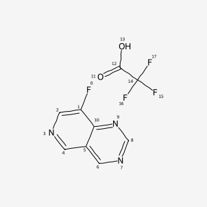 Fc1cncc2cncnc12.O=C(O)C(F)(F)F